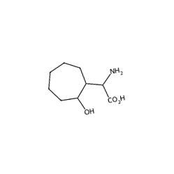 NC(C(=O)O)C1CCCCCC1O